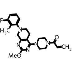 C=CC(=O)N1CCN(c2nc(OC)nc3c2CCN(c2cccc(F)c2C)C3)CC1